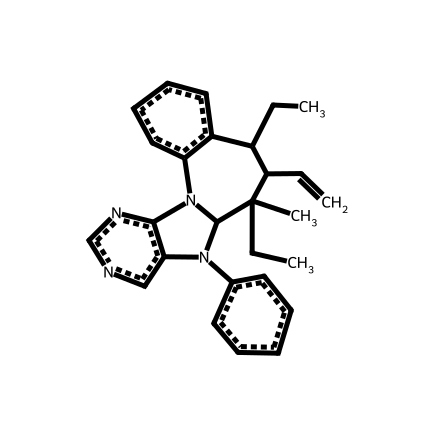 C=CC1C(CC)c2ccccc2N2c3ncncc3N(c3ccccc3)C2C1(C)CC